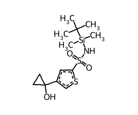 CC(C)(C)[Si](C)(C)NS(=O)(=O)c1cc(C2(O)CC2)cs1